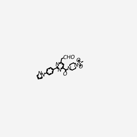 CS(=O)(=O)N1CCN(C(=O)c2cc(CC=O)nc(-c3ccc(-n4cccn4)cc3)n2)CC1